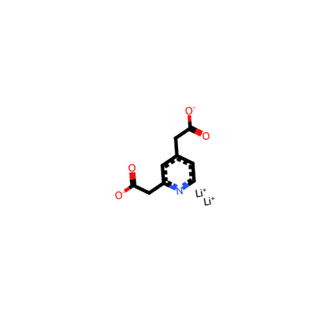 O=C([O-])Cc1ccnc(CC(=O)[O-])c1.[Li+].[Li+]